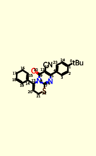 CC(C)(C)c1ccc(-c2nc3n(c(=O)c2C#N)C(C2=CCCC=C2)=CCS3)cc1